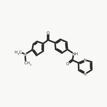 CN(C)c1ccc(C(=O)c2ccc(NC(=O)c3cnccn3)cc2)cc1